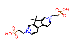 CC1(C)c2c[n+](CCS(=O)(=O)O)ccc2-c2cc[n+](CCS(=O)(=O)O)cc21